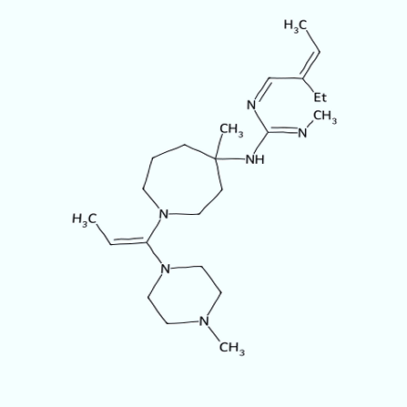 C\C=C(/C=N\C(=N/C)NC1(C)CCCN(/C(=C\C)N2CCN(C)CC2)CC1)CC